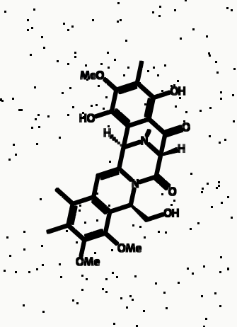 COc1c(C)c(O)c2c(c1O)[C@@H]1C3=Cc4c(C)c(C)c(OC)c(OC)c4[C@H](CO)N3C(=O)[C@@H](C2=O)N1C